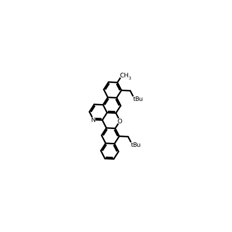 Cc1ccc2c(cc3c4c(nccc42)-c2cc4ccccc4c(CC(C)(C)C)c2O3)c1CC(C)(C)C